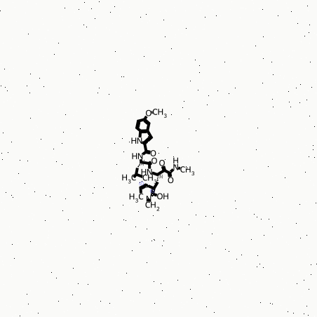 C=N/C(O)=C(\C=C/C)C[C@H](NC(=O)[C@H](CC(C)C)NC(=O)c1cc2cc(OC)ccc2[nH]1)C(=O)C(=O)NC